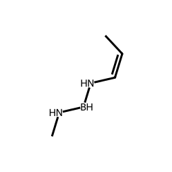 C/C=C\NBNC